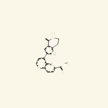 C=C(OCC)c1ccc2nccc(-c3cc4c([nH]3)CCNC4=O)c2n1